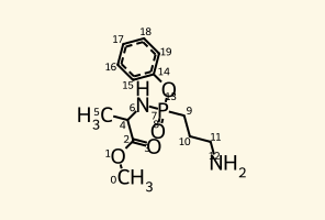 COC(=O)C(C)NP(=O)(CCCN)Oc1ccccc1